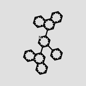 c1ccc(-c2cc(-c3cc4ccccc4c4ccccc34)ncc2-c2cc3ccccc3c3ccccc23)cc1